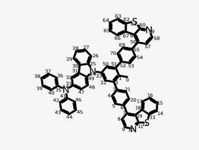 Cc1c(-c2ccc(-c3ccnc4sc5ccccc5c34)cc2)cc(-n2c3ccccc3c3cc(N(c4ccccc4)c4ccccc4)ccc32)cc1-c1ccc(-c2ccnc3sc4ccccc4c23)cc1